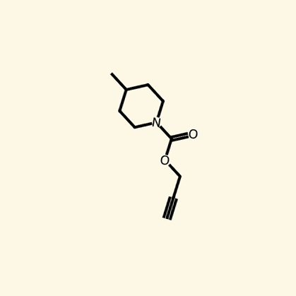 C#CCOC(=O)N1CCC(C)CC1